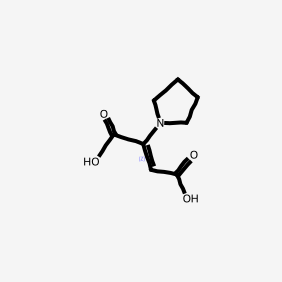 O=C(O)/C=C(/C(=O)O)N1CCCC1